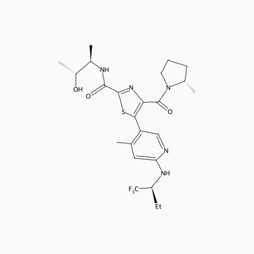 CC[C@H](Nc1cc(C)c(-c2sc(C(=O)N[C@H](C)[C@@H](C)O)nc2C(=O)N2CCC[C@@H]2C)cn1)C(F)(F)F